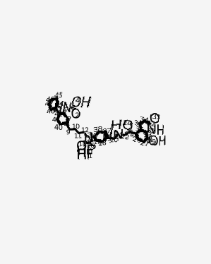 F.F.O=C(O)Nc1cc(CCCCn2c(=O)sc3cc(CNCC(O)c4ccc(O)c5[nH]c(=O)ccc45)ccc32)ccc1-c1ccccc1